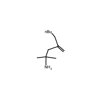 C=C(CCCCC)CC(C)(C)N